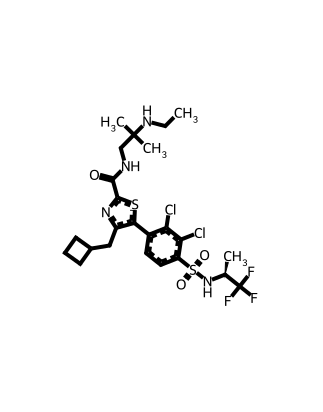 CCNC(C)(C)CNC(=O)c1nc(CC2CCC2)c(-c2ccc(S(=O)(=O)N[C@@H](C)C(F)(F)F)c(Cl)c2Cl)s1